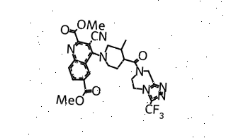 COC(=O)c1ccc2nc(C(=O)OC)c(C#N)c(N3CCC(C(=O)N4CCn5c(nnc5C(F)(F)F)C4)C(C)C3)c2c1